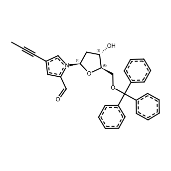 CC#Cc1cc(C=O)n([C@H]2C[C@H](O)[C@@H](COC(c3ccccc3)(c3ccccc3)c3ccccc3)O2)c1